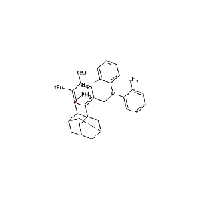 Cc1ccccc1P(Cc1cc(C(C)(C)C)c(C(C)(C)C)cc1C12CC3CC(CC(C3)C1CP)C2)c1ccccc1C